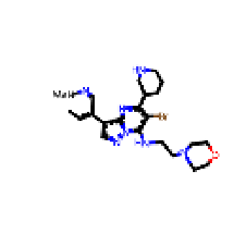 C/C=C(\C=N/NC)c1cnn2c(NCCN3CCOCC3)c(Br)c(C3CCCNC3)nc12